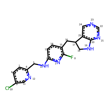 Fc1nc(NCc2ccc(Cl)cn2)ccc1CC1CNc2ncncc21